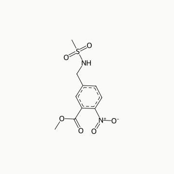 COC(=O)c1cc(CNS(C)(=O)=O)ccc1[N+](=O)[O-]